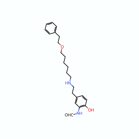 O=CNc1cc(CCNCCCCCCOCCc2ccccc2)ccc1O